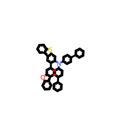 c1ccc(-c2ccc(N(c3ccc(-c4ccccc4)cc3)c3cc4sc5ccccc5c4cc3-c3ccc4c(c3)oc3ccccc34)cc2)cc1